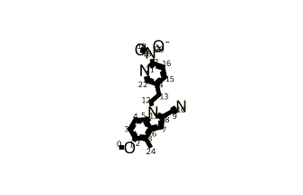 COc1ccc2c(cc(C#N)n2CCc2ccc([N+](=O)[O-])nc2)c1C